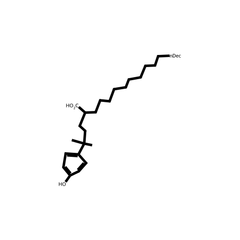 CCCCCCCCCCCCCCCCCCCCC(CCC(C)(C)c1ccc(O)cc1)C(=O)O